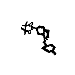 Cc1ccc(Cn2ccc3ccc(B4OC(C)(C)C(C)(C)O4)cc32)cc1